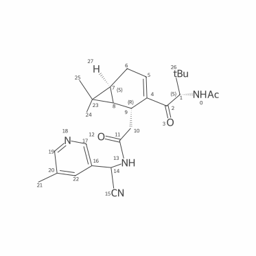 CC(=O)N[C@H](C(=O)C1=CC[C@H]2C([C@H]1CC(=O)NC(C#N)c1cncc(C)c1)C2(C)C)C(C)(C)C